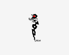 CCC1(NC(=O)NC2(c3ccc(-c4ccc(CCCOC)cc4)cc3)CC2)CN2CCC1CC2